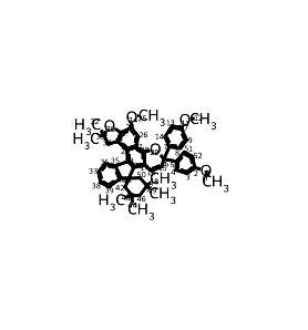 COc1ccc(C2(c3ccc(OC)cc3)C=Cc3c4c(c5c6c(c(OC)cc5c3O2)OC(C)(C)C6)-c2ccccc2C42CC(C)(C)CC(C)(C)C2)cc1